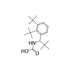 CC(C)(C)c1cccc(C(NC(=O)O)C(C)(C)C)c1C(C)(C)C